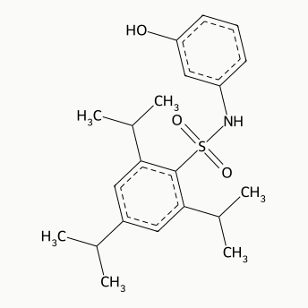 CC(C)c1cc(C(C)C)c(S(=O)(=O)Nc2cccc(O)c2)c(C(C)C)c1